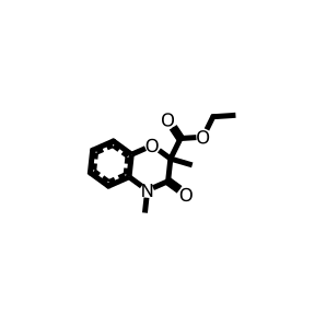 CCOC(=O)C1(C)Oc2ccccc2N(C)C1=O